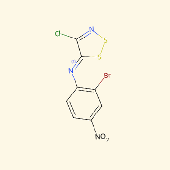 O=[N+]([O-])c1ccc(/N=c2\ssnc2Cl)c(Br)c1